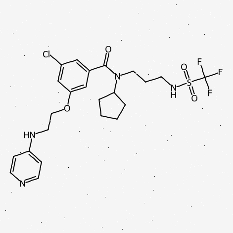 O=C(c1cc(Cl)cc(OCCNc2ccncc2)c1)N(CCCNS(=O)(=O)C(F)(F)F)C1CCCC1